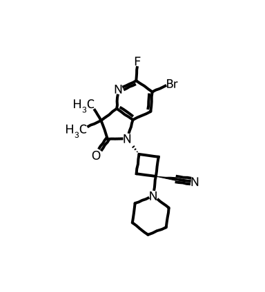 CC1(C)C(=O)N([C@H]2C[C@@](C#N)(N3CCCCC3)C2)c2cc(Br)c(F)nc21